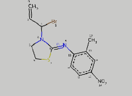 C=CC(Br)N1CCS/C1=N\c1ccc([N+](=O)[O-])cc1C